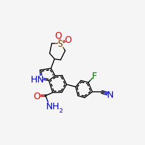 N#Cc1ccc(-c2cc(C(N)=O)c3[nH]cc(C4CCS(=O)(=O)CC4)c3c2)cc1F